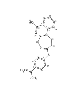 CN(C)c1ccc(CN2CCCN(c3ncccc3C(=O)O)CC2)cc1